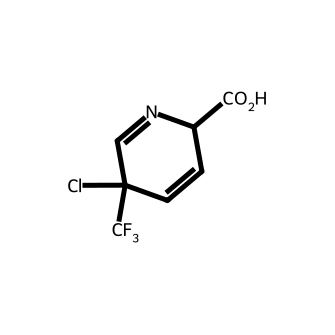 O=C(O)C1C=CC(Cl)(C(F)(F)F)C=N1